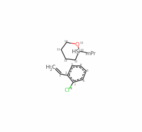 C=Cc1ccccc1Cl.CCC[SiH]1CCCCO1